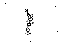 C[Si](C)(C)CCOCN1C(=O)CCC(c2c(F)cc(N3CCC(O)CC3)cc2F)C1=O